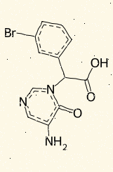 Nc1cncn(C(C(=O)O)c2cccc(Br)c2)c1=O